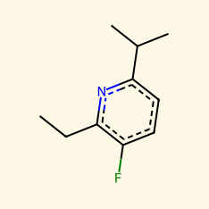 CCc1nc(C(C)C)ccc1F